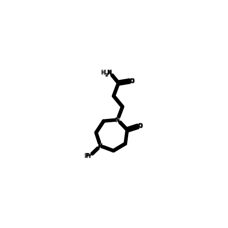 CC(C)N1CCC(=O)N(CCC(N)=O)CC1